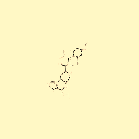 CN(C(=O)c1cc2c(cn1)nc(N)c1cncn12)[C@@H](c1ccc(OC(F)(F)F)cc1F)C(F)F